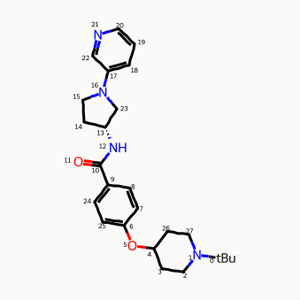 CC(C)(C)N1CCC(Oc2ccc(C(=O)N[C@@H]3CCN(c4cccnc4)C3)cc2)CC1